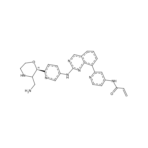 C=CC(=O)Nc1ccnc(-c2cccc3cnc(Nc4ccc([C@@H]5OCCNC5CN)nc4)nc23)c1